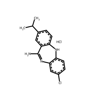 CC(C)c1ccc2c(c1)C(N)=Nc1cc(Cl)ccc1N2.Cl